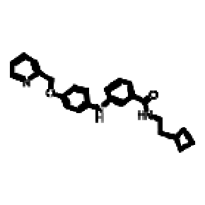 O=C(NCCC1CCC1)c1cccc(Nc2ccc(OCc3ccccn3)cc2)c1